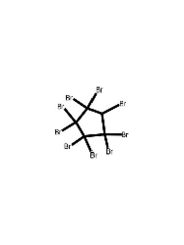 Br[C]1C(Br)(Br)C(Br)(Br)C(Br)(Br)C1(Br)Br